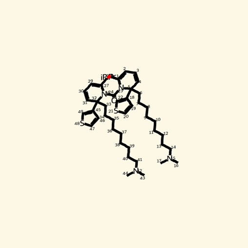 CC(C)C1=CC=CC(CCCCCCCCCN(C)C)(c2ccsc2)N1C(=O)N1C(C(C)C)=CC=CC1(CCCCCCCCCN(C)C)c1ccsc1